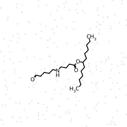 CCCCCCC(CCCCCC)OC(=O)CCCNCCCCC=O